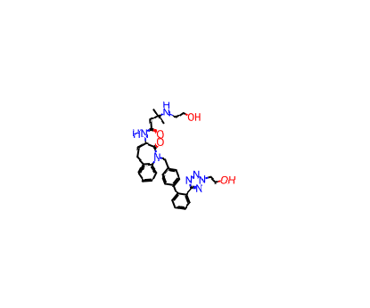 CC(C)(CC(=O)N[C@@H]1CCc2ccccc2N(Cc2ccc(-c3ccccc3-c3nnn(CCO)n3)cc2)C1=O)NCCO